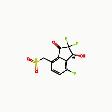 O=C1c2c(C[SH](=O)=O)ccc(F)c2[C@H](O)C1(F)F